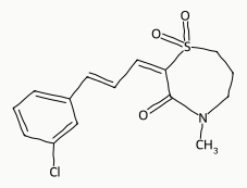 CN1CCCS(=O)(=O)/C(=C/C=C/c2cccc(Cl)c2)C1=O